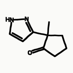 CC1(c2cc[nH]n2)CCCC1=O